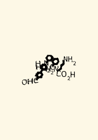 NC1CCCCC1.NCCCCC(N)C(=O)O.O=C(O)C1CCCCC1.O=Cc1ccc(-c2ccccc2)cc1